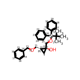 CC(C)(C)[Si](OC[C@]1(O)C[C@@H]1COCc1ccccc1)(c1ccccc1)c1ccccc1